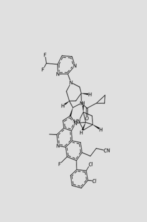 Cc1nc2c(F)c(-c3cccc(Cl)c3Cl)c(CCC#N)cc2c2c1cc([C@H]1[C@H]3C[C@H](CN(c4nccc(C(F)F)n4)C3)N1C(=O)C1CC1)n2[C@H]1[C@H]2CN[C@@H]1C2